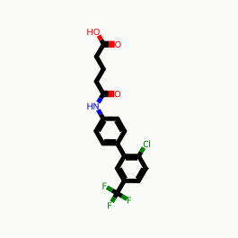 O=C(O)CCCC(=O)Nc1ccc(-c2cc(C(F)(F)F)c[c]c2Cl)cc1